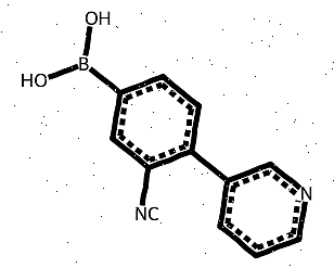 [C-]#[N+]c1cc(B(O)O)ccc1-c1cccnc1